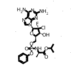 CC(C)OC(=O)[C@@H](C)NP(=O)(OC[C@H]1O[C@@H](n2cnc3c(N)nc(N)nc32)[C@@](F)(Cl)[C@@H]1O)Oc1ccccc1